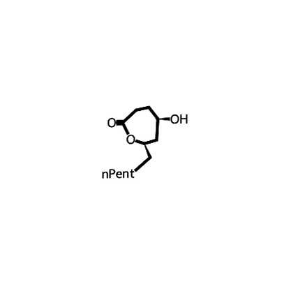 CCCCCC[C@@H]1C[C@H](O)CCC(=O)O1